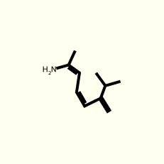 C=C(/C=C\C=C(\C)N)C(C)C